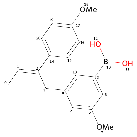 C/C=C(\Cc1cc(OC)cc(B(O)O)c1)c1ccc(OC)cc1